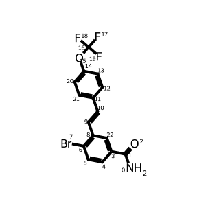 NC(=O)c1ccc(Br)c(C=Cc2ccc(OC(F)(F)F)cc2)c1